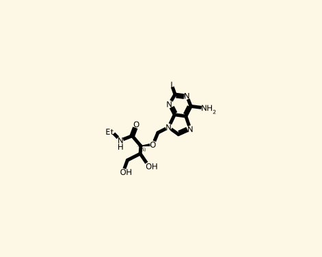 CCNC(=O)[C@@H](OCn1cnc2c(N)nc(I)nc21)C(O)CO